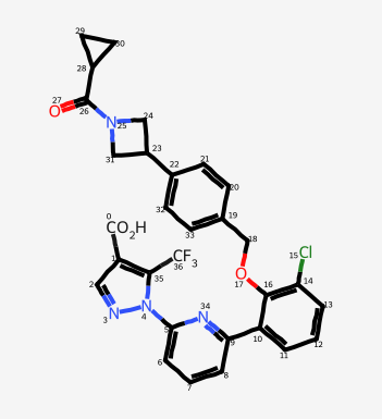 O=C(O)c1cnn(-c2cccc(-c3cccc(Cl)c3OCc3ccc(C4CN(C(=O)C5CC5)C4)cc3)n2)c1C(F)(F)F